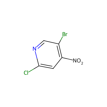 O=[N+]([O-])c1cc(Cl)ncc1Br